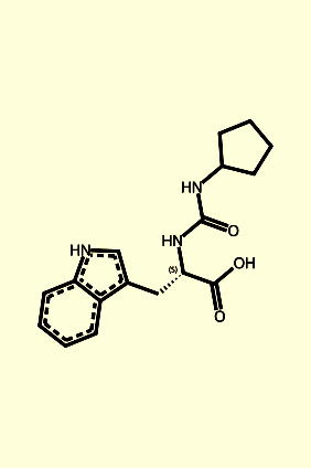 O=C(NC1CCCC1)N[C@@H](Cc1c[nH]c2ccccc12)C(=O)O